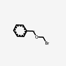 BrCO[C]c1ccccc1